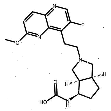 COc1ccc2ncc(F)c(CCN3C[C@H]4CC[C@@H](NC(=O)O)[C@H]4C3)c2n1